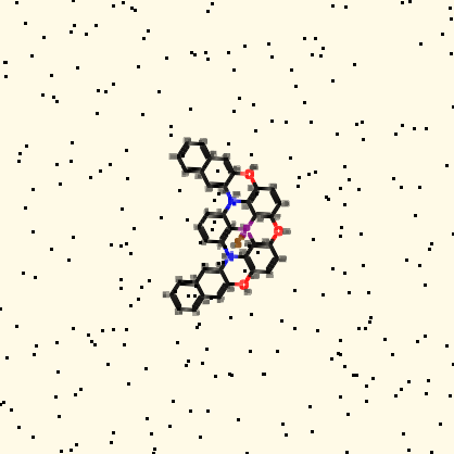 S=P12c3c4cccc3N3c5cc6ccccc6cc5Oc5ccc(c1c53)Oc1ccc3c(c12)N4c1cc2ccccc2cc1O3